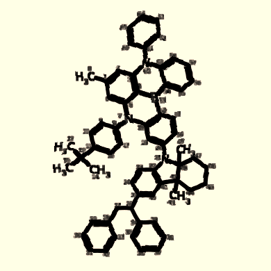 Cc1cc2c3c(c1)N(c1ccc(C(C)(C)C)cc1)c1cc(N4c5ccc(C(Cc6ccccc6)c6ccccc6)cc5C5(C)CCCCC45C)ccc1B3c1ccccc1N2c1ccccc1